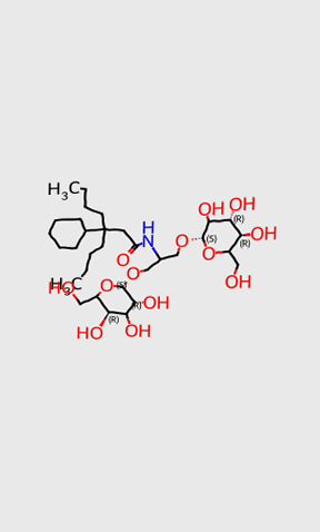 CCCCC(CCCC)(CC(=O)NC(CO[C@H]1OC(CO)[C@H](O)[C@@H](O)C1O)CO[C@H]1OC(CO)[C@H](O)C(O)[C@H]1O)C1CCCCC1